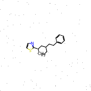 [CH2]C(CC(CCc1ccccc1)CC(C)C)c1nccs1